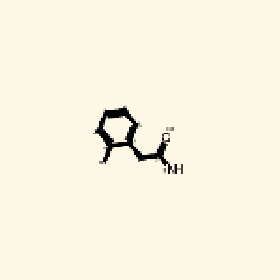 Cc1ccccc1CC([NH])=O